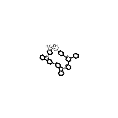 C[Si](C)(C)c1ccc(-n2c3ccccc3c3ccc(-c4ccc5c(c4)c4ccccc4n5-c4cccc(-c5cc(-c6ccccc6)nc(-c6ccccc6)c5)c4)cc32)cc1